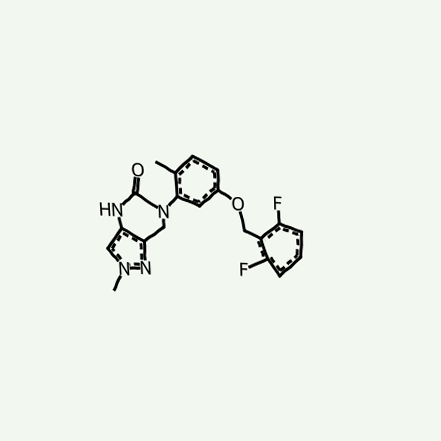 Cc1ccc(OCc2c(F)cccc2F)cc1N1Cc2nn(C)cc2NC1=O